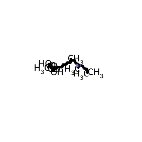 CC(C)=CCC/C(C)=C/CCC(C)=CC=CC=CCOP(=O)(O)OP(C)(=O)O